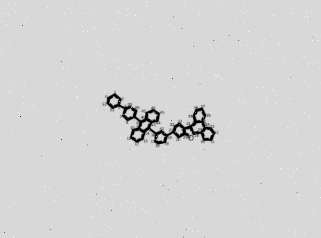 c1ccc(-c2ccc(-c3c4ccccc4c(-c4cccc(-c5ccc6c(c5)oc5c7ccccc7c7ccccc7c65)c4)c4ccccc34)cc2)cc1